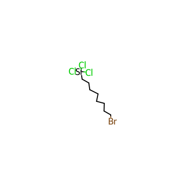 Cl[Si](Cl)(Cl)CCCCCCCCBr